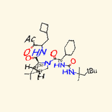 CC(=O)C(=O)C(CC1CCC1)NC(=O)[C@@H]1[C@@H]2[C@H](CN1C(=O)[C@@H](NC(=O)NC(C)(C)CC(C)(C)C)C1CCCCC1)C2(C)C